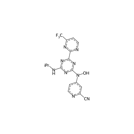 CC(C)Nc1nc(-c2nccc(C(F)(F)F)n2)nc(N(O)c2ccnc(C#N)c2)n1